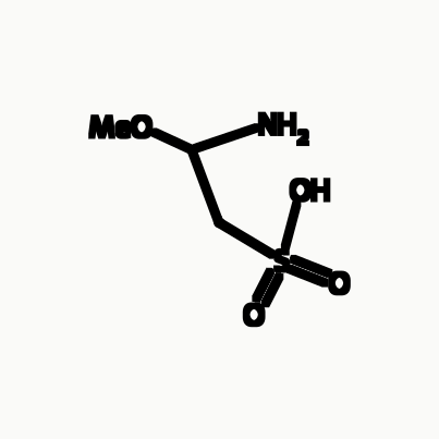 COC(N)CS(=O)(=O)O